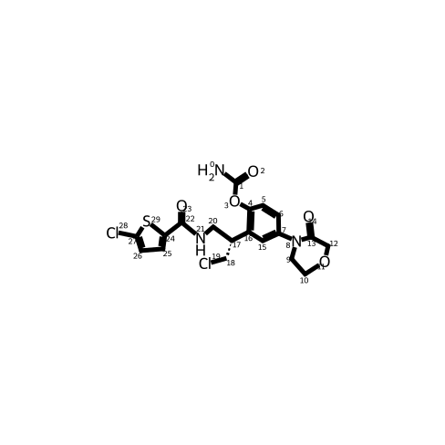 NC(=O)Oc1ccc(N2CCOCC2=O)cc1[C@H](CCl)CNC(=O)c1ccc(Cl)s1